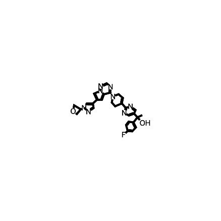 CC(O)(c1ccc(F)cc1)c1cnc(C2=CCN(c3ncnn4cc(-c5cnn(C6COC6)c5)cc34)CC2)nc1